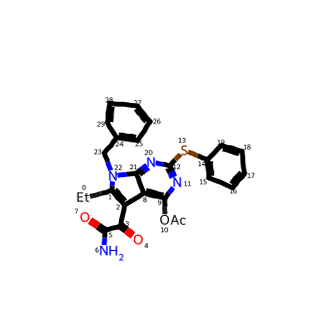 CCc1c(C(=O)C(N)=O)c2c(OC(C)=O)nc(Sc3ccccc3)nc2n1Cc1ccccc1